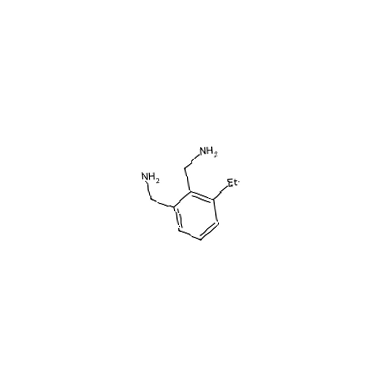 C[CH]c1cccc(CN)c1CN